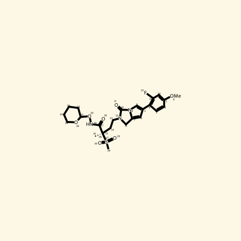 COc1ccc(-c2cc3n(c2)C(=O)N(CC[C@](C)(C(=O)NOC2CCCCO2)S(C)(=O)=O)C3)c(F)c1